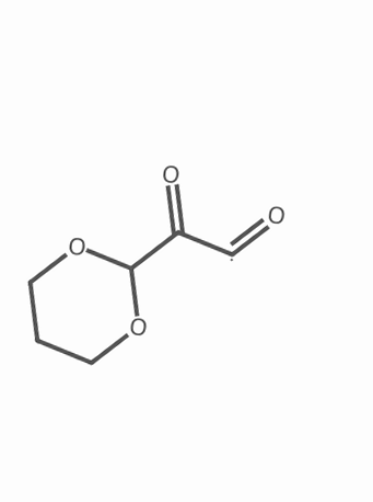 O=[C]C(=O)C1OCCCO1